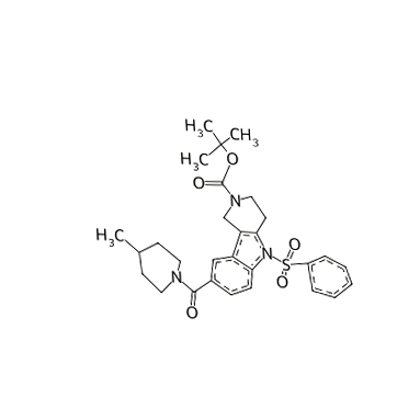 CC1CCN(C(=O)c2ccc3c(c2)c2c(n3S(=O)(=O)c3ccccc3)CCN(C(=O)OC(C)(C)C)C2)CC1